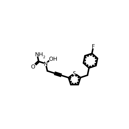 NC(=O)N(O)CC#Cc1ccc(Cc2ccc(F)cc2)s1